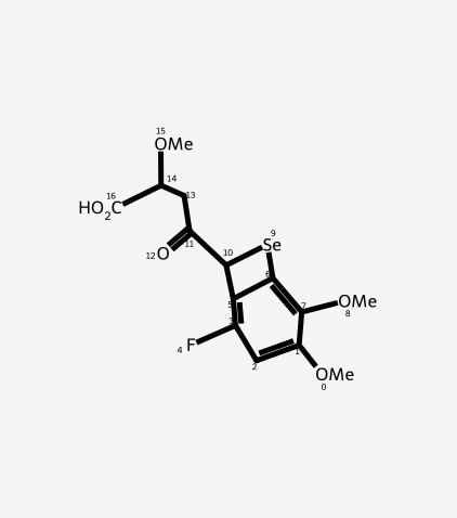 COc1cc(F)c2c(c1OC)[Se]C2C(=O)CC(OC)C(=O)O